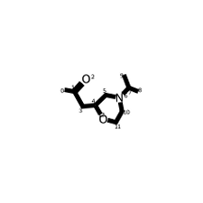 CC(=O)CC1CN(C(C)C)CCO1